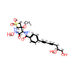 COC1(C(NC(=O)c2ccc(C#CC#CCC(O)CO)cc2)C(=O)NO)CS(=O)(=O)C1